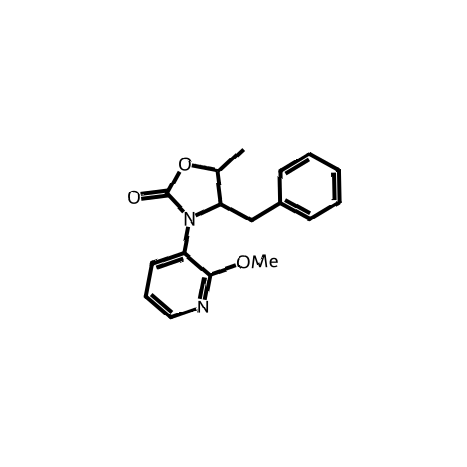 COc1ncccc1N1C(=O)OC(C)C1Cc1ccccc1